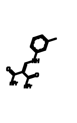 CCCC(=O)C(=CNc1cccc(C)c1)C(=O)CCC